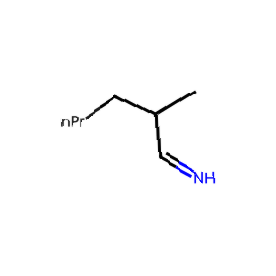 CCCCC(C)C=N